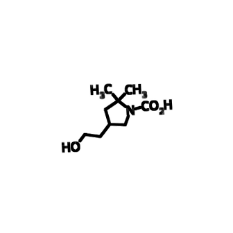 CC1(C)CC(CCO)CN1C(=O)O